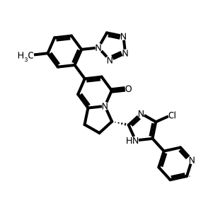 Cc1ccc(-n2cnnn2)c(-c2cc3n(c(=O)c2)[C@H](c2nc(Cl)c(-c4cc[c]nc4)[nH]2)CC3)c1